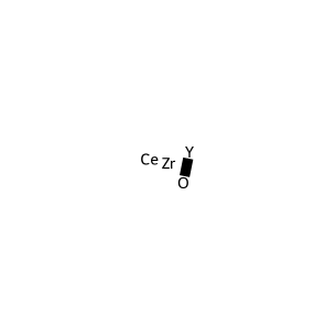 [Ce].[O]=[Y].[Zr]